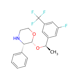 C[C@@H](O[C@H]1OCCN[C@H]1c1ccccc1)c1cc(F)cc(C(F)(F)F)c1